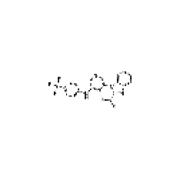 FC(F)c1nc2ccccc2n1-c1cncc(Nc2ccc(C(F)(F)F)cc2)n1